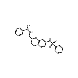 C[C@@H](NCC1CCc2ccc(NS(=O)(=O)c3ccccc3)cc2O1)c1ccccc1